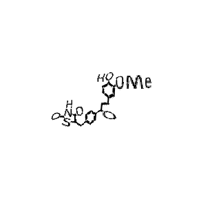 COc1cc(C=CC(=O)c2ccc(CC3SC(=O)NC3=O)cc2)ccc1O